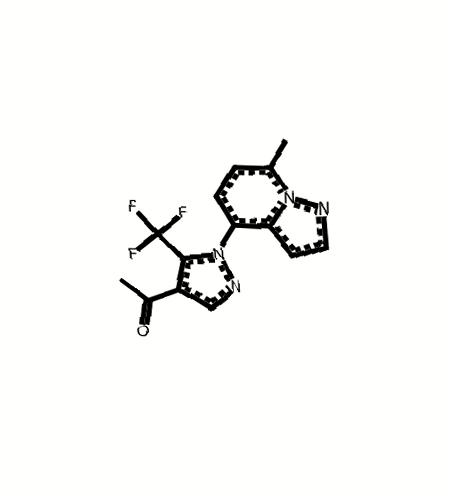 CC(=O)c1cnn(-c2ccc(C)n3nccc23)c1C(F)(F)F